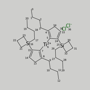 CCCCC1=[C]([Ti+2][C]2=C(CCCC)CC=C2[Si]2(CCCC)CCC2)C([Si]2(CCCC)CCC2)=CC1.[Cl-].[Cl-]